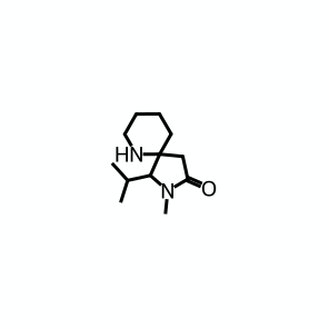 CC(C)C1N(C)C(=O)CC12CCCCN2